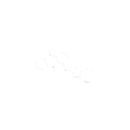 O=C1c2ccccc2C(=O)c2c1cccc2C(=O)n1cc2c(c1)C=CSC=C2